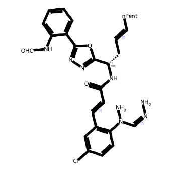 CCCCC/C=C/C[C@H](NC(=O)/C=C/c1cc(Cl)ccc1N(N)/C=N\N)c1nnc(-c2ccccc2NC=O)o1